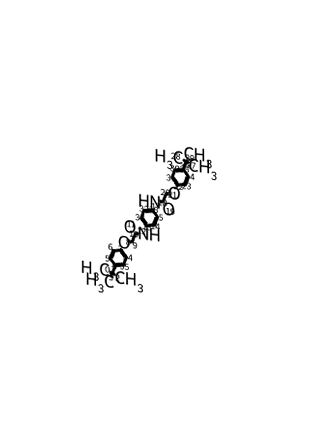 CC(C)(C)c1ccc(OCC(=O)Nc2ccc(NC(=O)COc3ccc(C(C)(C)C)cc3)cc2)cc1